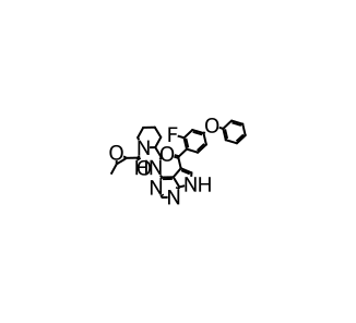 CC1OC1C(=O)N1CCCCC1CNc1ncnc2[nH]cc(C(=O)c3ccc(Oc4ccccc4)cc3F)c12